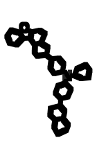 C1=CC(N(C2=CCC(c3ccc4ccccc4c3)CC2)c2ccccc2)CC=C1c1ccc2c(ccc3oc4ccccc4c32)c1